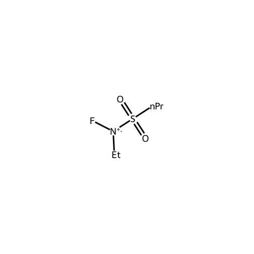 CCCS(=O)(=O)[N+](F)CC